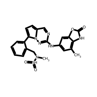 Cc1cc(Nc2ncc3ccc(-c4ccccc4CN(C)[SH](=O)=O)n3n2)cc2oc(=O)[nH]c12